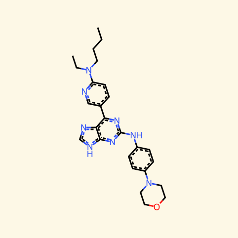 CCCCN(CC)c1ccc(-c2nc(Nc3ccc(N4CCOCC4)cc3)nc3[nH]cnc23)cn1